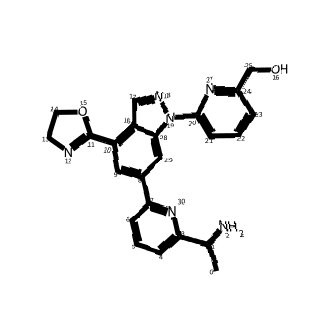 CC(N)c1cccc(-c2cc(C3=NCCO3)c3cnn(-c4cccc(CO)n4)c3c2)n1